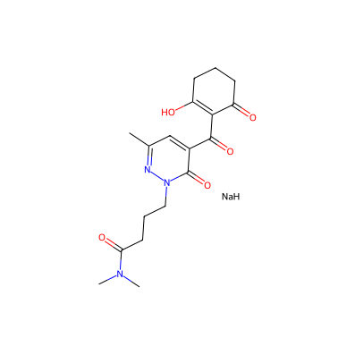 Cc1cc(C(=O)C2=C(O)CCCC2=O)c(=O)n(CCCC(=O)N(C)C)n1.[NaH]